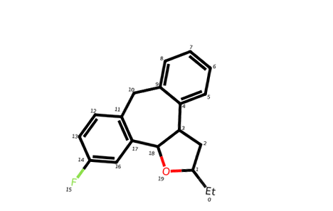 CCC1CC2c3ccccc3Cc3ccc(F)cc3C2O1